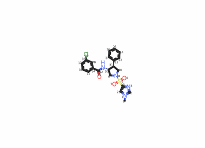 Cn1cnc(S(=O)(=O)N2C[C@H](NC(=O)c3cccc(Cl)c3)[C@@H](c3ccccc3)C2)c1